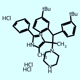 Cc1[nH]c(-c2ccccc2)nc1C(C)(C(c1cccc(C(C)(C)C)c1)c1cccc(C(C)(C)C)c1)N1CCNCC1.Cl.Cl.Cl